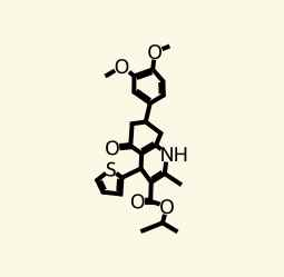 COc1ccc(C2CC(=O)C3=C(C2)NC(C)=C(C(=O)OC(C)C)C3c2cccs2)cc1OC